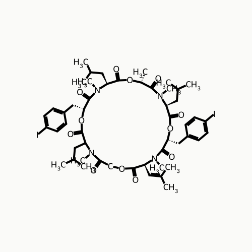 CC(C)=C[C@H]1C(=O)OCC(=O)N(C)C(CC(C)C)C(=O)O[C@H](Cc2ccc(I)cc2)C(=O)N(C)[C@@H](CC(C)C)C(=O)O[C@H](C)C(=O)N(C)[C@@H](CC(C)C)C(=O)O[C@H](Cc2ccc(I)cc2)C(=O)N1C